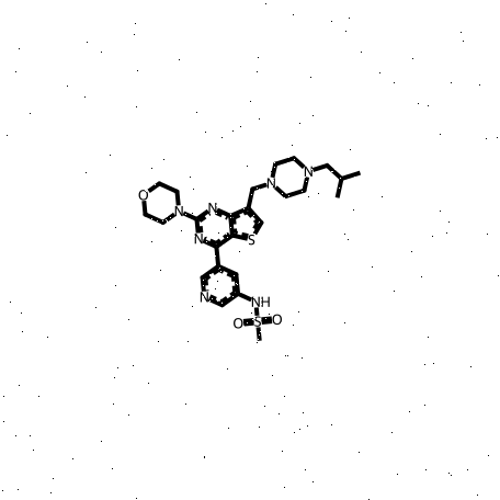 CC(C)CN1CCN(Cc2csc3c(-c4cncc(NS(C)(=O)=O)c4)nc(N4CCOCC4)nc23)CC1